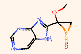 COC1(c2nc3ncncc3[nH]2)C[PH]1=O